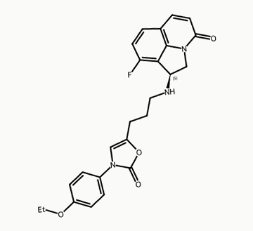 CCOc1ccc(-n2cc(CCCN[C@@H]3Cn4c(=O)ccc5ccc(F)c3c54)oc2=O)cc1